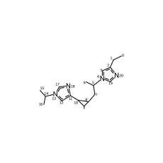 CCc1cn(C(C)CC2CC2c2cn(C(C)C)cn2)cn1